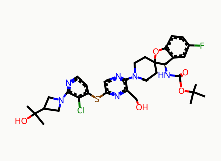 CC(C)(C)OC(=O)N[C@@H]1c2cc(F)ccc2OC12CCN(c1ncc(Sc3ccnc(N4CC(C(C)(C)O)C4)c3Cl)nc1CO)CC2